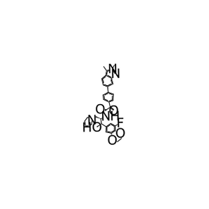 Cc1c2ccc(-c3ccc(C(=O)C(=O)N[C@H](CN4CCCC4)[C@H](O)c4cc(F)c5c(c4)OCCO5)cc3)cc2nn1C